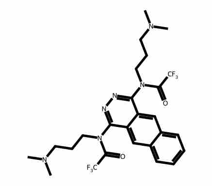 CN(C)CCCN(C(=O)C(F)(F)F)c1nnc(N(CCCN(C)C)C(=O)C(F)(F)F)c2cc3ccccc3cc12